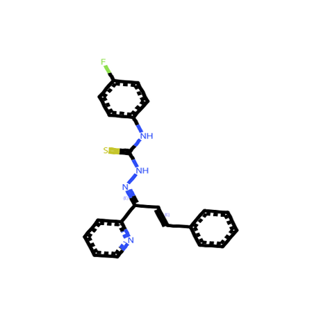 Fc1ccc(NC(=S)N/N=C(\C=C\c2ccccc2)c2ccccn2)cc1